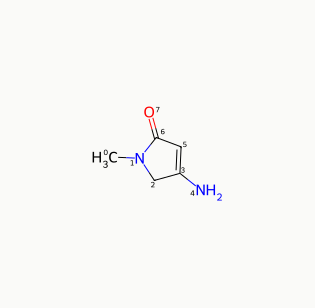 CN1CC(N)=CC1=O